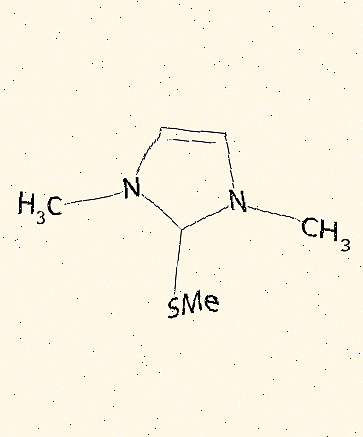 CSC1N(C)C=CN1C